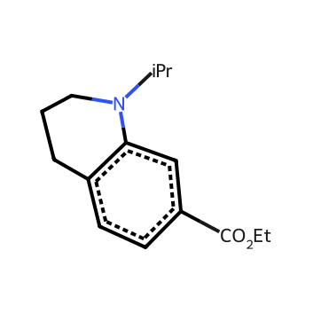 CCOC(=O)c1ccc2c(c1)N(C(C)C)CCC2